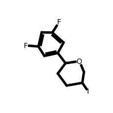 Fc1cc(F)cc(C2CCC(I)CO2)c1